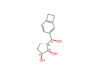 O[C@@H]1[C@@H]([C@H](O)c2ccc3c(c2)CC3)CC[C@@H]1O